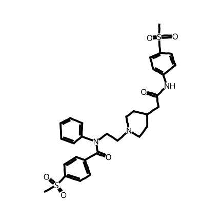 CS(=O)(=O)c1ccc(NC(=O)CC2CCN(CCN(C(=O)c3ccc(S(C)(=O)=O)cc3)c3ccccc3)CC2)cc1